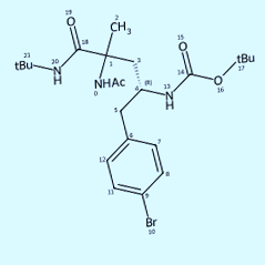 CC(=O)NC(C)(C[C@@H](Cc1ccc(Br)cc1)NC(=O)OC(C)(C)C)C(=O)NC(C)(C)C